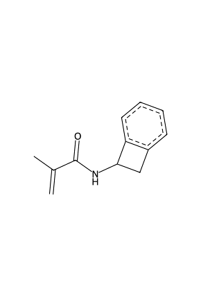 C=C(C)C(=O)NC1Cc2ccccc21